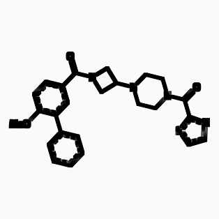 COc1ccc(C(=O)N2CC(N3CCN(C(=O)c4nccs4)CC3)C2)cc1-c1ccccc1